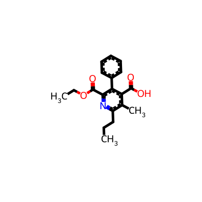 CCCc1nc(C(=O)OCC)c(-c2ccccc2)c(C(=O)O)c1C